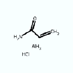 C=CC(N)=O.Cl.[AlH3]